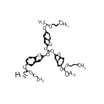 CCCOC(C)Oc1ccc2oc(OB(Oc3cc4cc(OC(C)OCCC)ccc4o3)Oc3cc4cc(OC(C)OCCC)ccc4o3)cc2c1